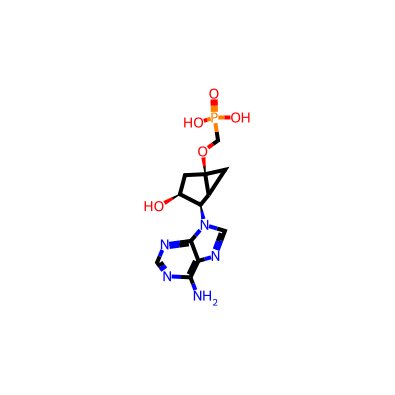 Nc1ncnc2c1ncn2[C@@H]1C2C[C@@]2(OCP(=O)(O)O)C[C@@H]1O